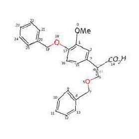 COc1cc(/C(=C\OCc2ccccc2)C(=O)O)ccc1OCc1ccccc1